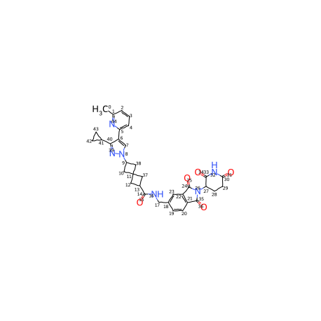 Cc1cccc(-c2cn(C3CC4(CC(C(=O)NCc5ccc6c(c5)C(=O)N(C5CCC(=O)NC5=O)C6=O)C4)C3)nc2C2CC2)n1